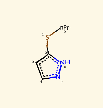 CC[CH]Sc1ccn[nH]1